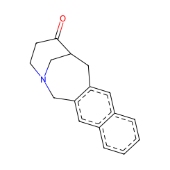 O=C1CCN2Cc3cc4ccccc4cc3CC1C2